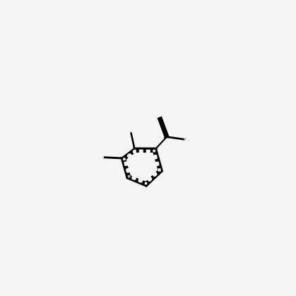 NC(=O)c1cccc(Cl)c1C(=O)O